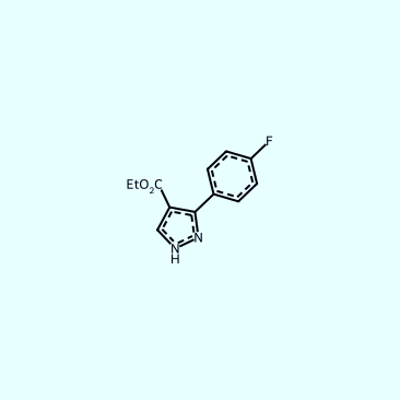 CCOC(=O)c1c[nH]nc1-c1ccc(F)cc1